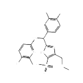 COCc1nc(C(Nc2ccc(F)c(C)n2)c2ccc(F)c(Cl)c2)[nH]c1S(=O)(=O)Cl